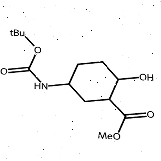 COC(=O)C1CC(NC(=O)OC(C)(C)C)CCC1O